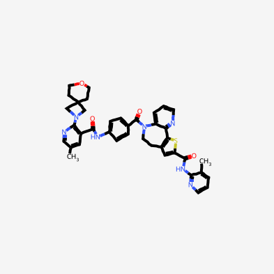 Cc1cnc(N2CC3(CCOCC3)C2)c(C(=O)Nc2ccc(C(=O)N3CCc4cc(C(=O)Nc5ncccc5C)sc4-c4ncccc43)cc2)c1